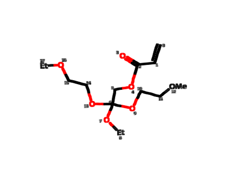 C=CC(=O)OCC(OCC)(OCCOC)OCCOCC